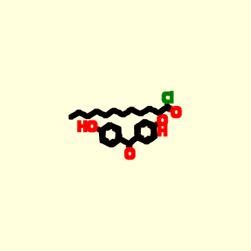 CCCCCCCCCCCC(=O)Cl.O=C(c1ccc(O)cc1)c1ccc(O)cc1